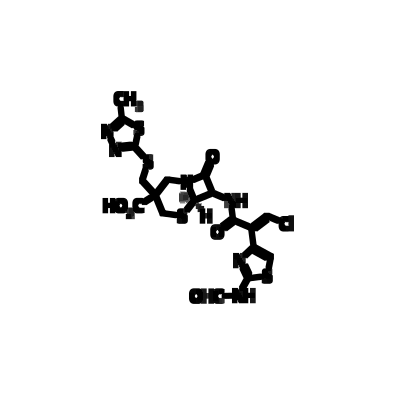 Cc1nnc(SCC2(C(=O)O)CS[C@@H]3C(NC(=O)C(=CCl)c4csc(NC=O)n4)C(=O)N3C2)s1